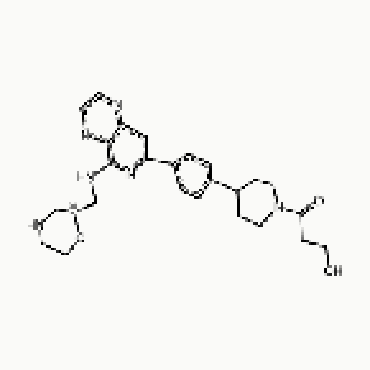 O=C(CCO)N1CCC(c2ccc(-c3cc4nccnc4c(NC[C@@H]4CNCCO4)n3)cc2)CC1